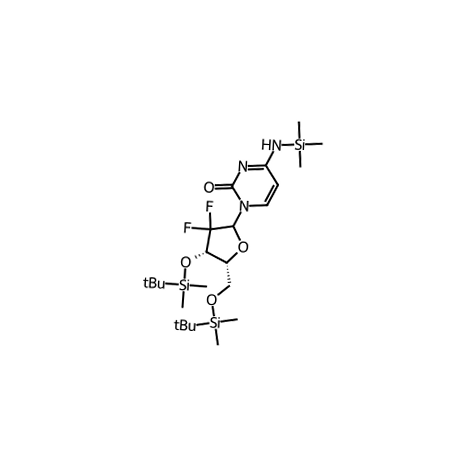 CC(C)(C)[Si](C)(C)OC[C@H]1OC(n2ccc(N[Si](C)(C)C)nc2=O)C(F)(F)[C@H]1O[Si](C)(C)C(C)(C)C